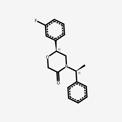 C[C@@H](c1ccccc1)N1C[C@H](c2cccc(F)c2)OCC1=O